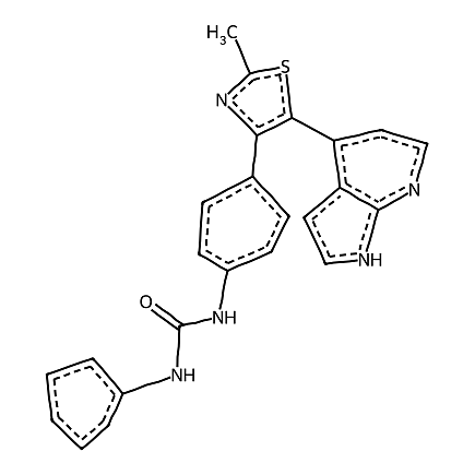 Cc1nc(-c2ccc(NC(=O)Nc3ccccc3)cc2)c(-c2ccnc3[nH]ccc23)s1